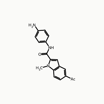 CC(=O)c1ccc2c(c1)cc(C(=O)Nc1ccc(N)cc1)n2C